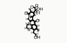 CC[C@@]1(O)C(=O)OCc2c1cc1n(c2=O)Cc2c-1c(=O)c1cc(F)c(CCO)c3c1n2CCS3